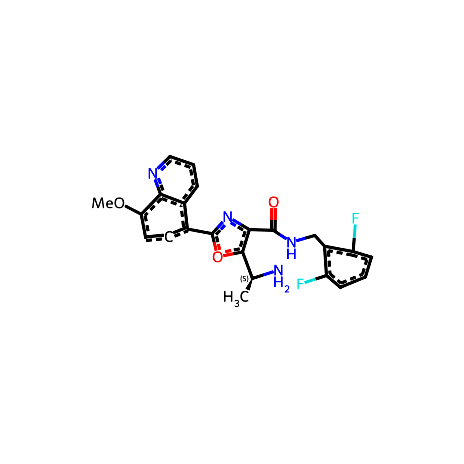 COc1ccc(-c2nc(C(=O)NCc3c(F)cccc3F)c([C@H](C)N)o2)c2cccnc12